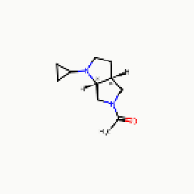 CC(=O)N1C[C@H]2CCN(C3CC3)[C@H]2C1